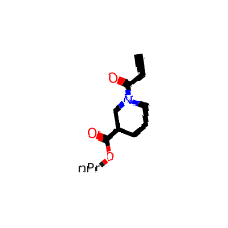 C=CC(=O)N1CCCC(C(=O)OCCC)C1